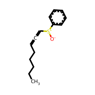 CCCCCC=C=C[S+]([O-])c1ccccc1